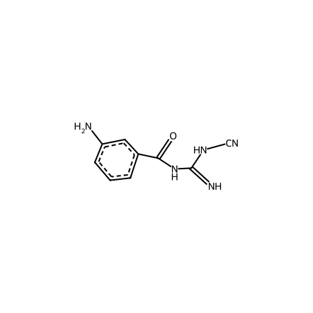 N#CNC(=N)NC(=O)c1cccc(N)c1